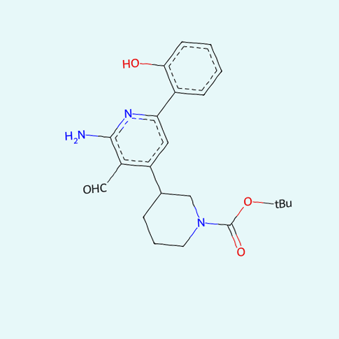 CC(C)(C)OC(=O)N1CCCC(c2cc(-c3ccccc3O)nc(N)c2C=O)C1